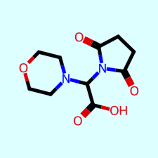 O=C(O)C(N1CCOCC1)N1C(=O)CCC1=O